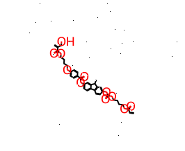 C=CC(=O)OCCCCOC(=O)Oc1ccc2c(c1)C(C)c1cc(OC(=O)c3ccc(OCCCCOC(=O)C(=C)CO)cc3)ccc1-2